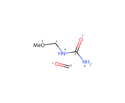 C=O.COCNC(N)=O